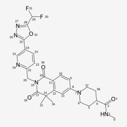 CNC(=O)C1CCN(c2ccc3c(c2)C(C)(C)C(=O)N(Cc2ccc(-c4nnc(C(F)F)o4)cn2)C3=O)CC1